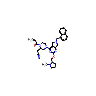 C=CC(=O)N1CCN(c2nc(OCC3CCCN3C)nc3c2CN(Cc2cccc4ccccc24)C3)CC1CC#N